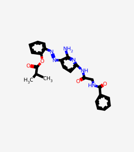 CC(C)C(=O)Oc1ccccc1/N=N/c1ccc(NC(=O)CNC(=O)c2ccccc2)nc1N